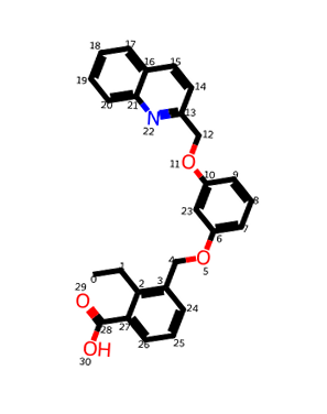 CCc1c(COc2cccc(OCc3ccc4ccccc4n3)c2)cccc1C(=O)O